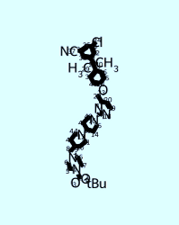 CC(C)(C)OC(=O)N1CCN(CC2CCN(C3CCN(c4nccc(COc5ccc(C(C)(C)c6cc(Cl)cc(C#N)c6)cc5)n4)CC3)CC2)CC1